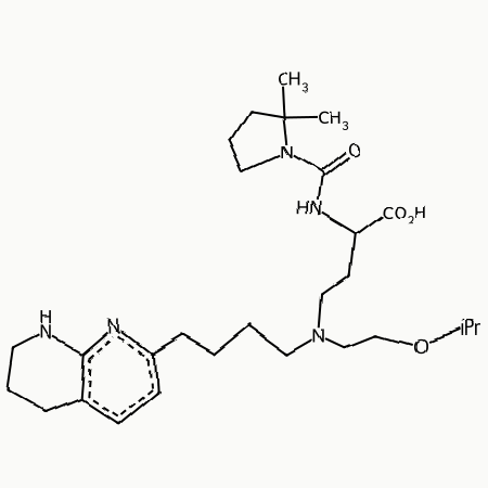 CC(C)OCCN(CCCCc1ccc2c(n1)NCCC2)CCC(NC(=O)N1CCCC1(C)C)C(=O)O